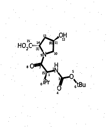 CC(C)[C@H](NC(=O)OC(C)(C)C)C(=O)N1C[C@H](O)C[C@H]1C(=O)O